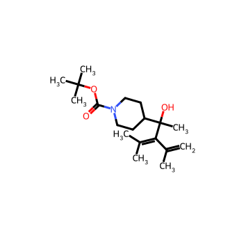 C=C(C)C(=C(C)C)C(C)(O)C1CCN(C(=O)OC(C)(C)C)CC1